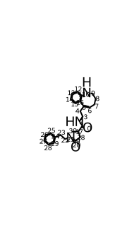 O=C(NCC/C1=C/CCCNc2ccccc21)C1CC(=O)N(CCc2ccccc2)C1